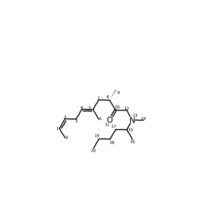 C/C=C\C/C=C(\C)C[C@H](C)C(=O)CN(C)C(C)CCCC